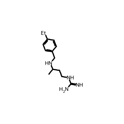 CCc1ccc(CNC(C)CCNC(=N)N)cc1